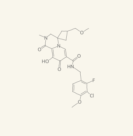 COCC1CC2(C1)CN(C)C(=O)c1c(O)c(=O)c(C(=O)NCc3ccc(OC)c(Cl)c3F)cn12